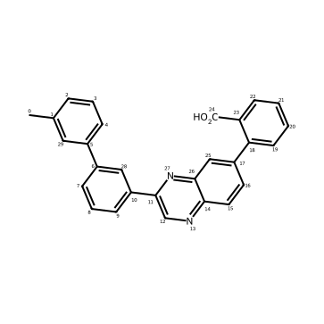 Cc1cccc(-c2cccc(-c3cnc4ccc(-c5ccccc5C(=O)O)cc4n3)c2)c1